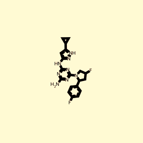 Nc1nc(Nc2cc(C3CC3)[nH]n2)nc(N2CC(F)CC2c2ccc(F)cc2)n1